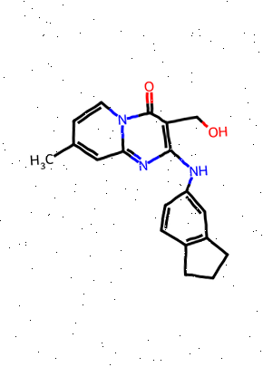 Cc1ccn2c(=O)c(CO)c(Nc3ccc4c(c3)CCC4)nc2c1